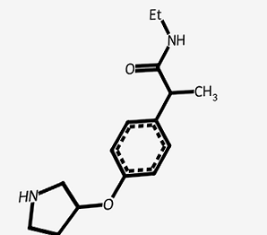 CCNC(=O)C(C)c1ccc(OC2CCNC2)cc1